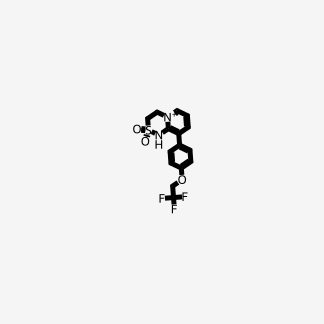 O=S1(=O)CC[n+]2cccc(-c3ccc(OCC(F)(F)F)cc3)c2N1